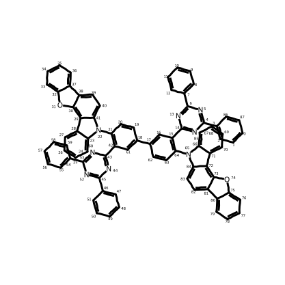 c1ccc(-c2nc(-c3ccccc3)nc(-c3cc(-c4ccc(-n5c6ccccc6c6c7oc8ccccc8c7ccc65)c(-c5nc(-c6ccccc6)nc(-c6ccccc6)n5)c4)ccc3-n3c4ccccc4c4c5oc6ccccc6c5ccc43)n2)cc1